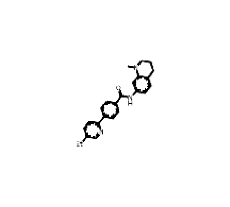 CCc1ccc(-c2ccc(C(=O)Nc3ccc4c(c3)N(C)CCC4)cc2)nc1